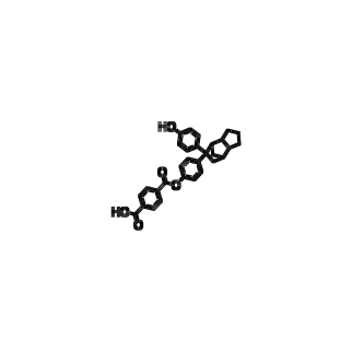 O=C(O)c1ccc(C(=O)Oc2ccc(C3(c4ccc(O)cc4)CC4CC3C3CCCC43)cc2)cc1